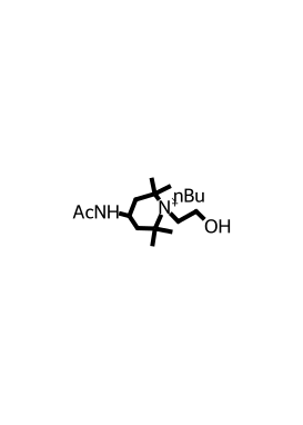 CCCC[N+]1(CCO)C(C)(C)CC(NC(C)=O)CC1(C)C